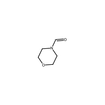 O=[C]N1[CH]COCC1